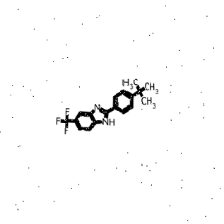 CC(C)(C)c1ccc(C2=NC3=CC(C(F)(F)F)=CCC3N2)cc1